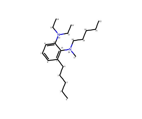 CCCCCc1cccc(N(CC)CC)c1N(C)CCCCC